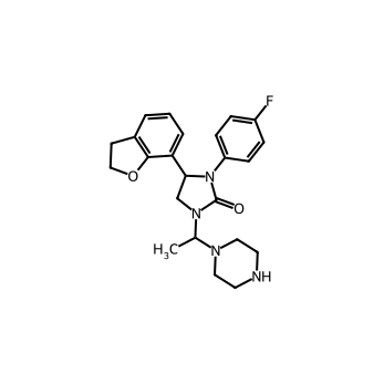 CC(N1CCNCC1)N1CC(c2cccc3c2OCC3)N(c2ccc(F)cc2)C1=O